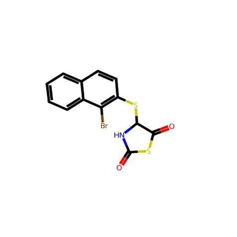 O=C1NC(Sc2ccc3ccccc3c2Br)C(=O)S1